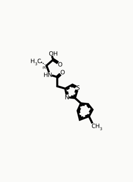 Cc1ccc(-c2nc(CC(=O)N[C@H](C)C(=O)O)cs2)cc1